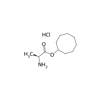 C[C@H](N)C(=O)OC1CCCCCCC1.Cl